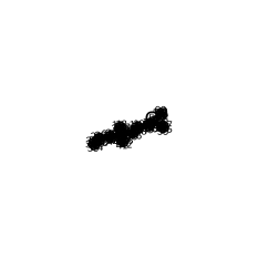 c1ccc(-c2oc3cc(-c4ccc5cc(-c6c7ccccc7c(-c7ccc(-c8ccc9ccccc9c8)cc7)c7ccccc67)ccc5c4)ccc3c2-c2ccccc2)cc1